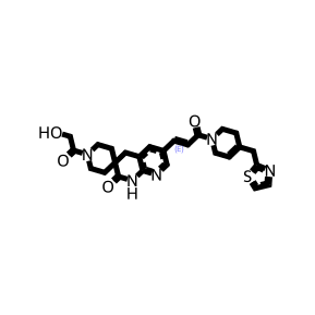 O=C(/C=C/c1cnc2c(c1)CC1(CCN(C(=O)CO)CC1)C(=O)N2)N1CC=C(Cc2nccs2)CC1